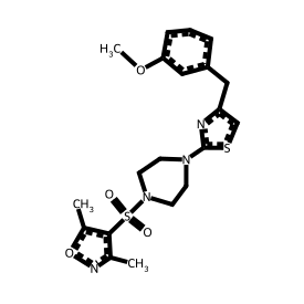 COc1cccc(Cc2csc(N3CCN(S(=O)(=O)c4c(C)noc4C)CC3)n2)c1